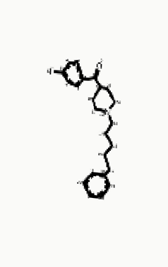 O=C(c1ccc(F)cc1)C1CCN(CCCCCc2ccccc2)CC1